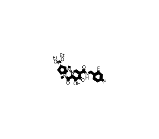 CCOP(OCC)[C@H]1CCC2(C1)N(C)C(=O)c1c(O)c(=O)c(C(=O)NCc3ccc(F)cc3F)cn1N2C